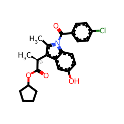 Cc1c([C@H](C)C(=O)OC2CCCC2)c2cc(O)ccc2n1C(=O)c1ccc(Cl)cc1